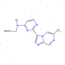 CCCC(C)CN(CC)c1ccnc(-c2cnc3cnc(C(F)(F)F)cn23)n1